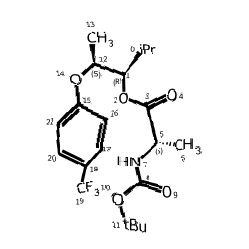 CC(C)[C@@H](OC(=O)[C@H](C)NC(=O)OC(C)(C)C)[C@H](C)Oc1ccc(C(F)(F)F)cc1